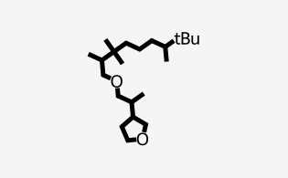 CC(COCC(C)C(C)(C)CCCC(C)C(C)(C)C)C1CCOC1